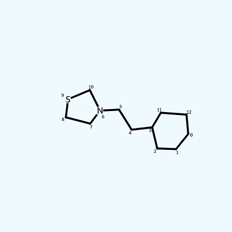 C1CCC(CCN2CCSC2)CC1